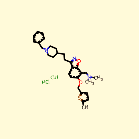 CN(C)Cc1c(OCc2ccc(C#N)s2)ccc2c(CCC3CCN(Cc4ccccc4)CC3)noc12.Cl.Cl